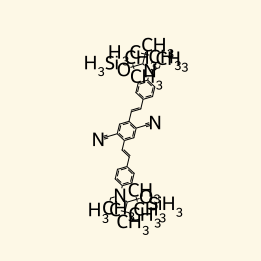 CCN(c1ccc(C=Cc2cc(C#N)c(C=Cc3ccc(N(CC)C(C(C)(C)C)C(C)(C)O[SiH3])cc3)cc2C#N)cc1)C(C(C)(C)C)C(C)(C)O[SiH3]